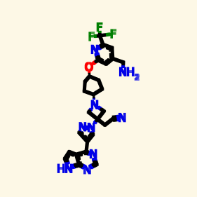 N#CCC1(n2cc(-c3ncnc4[nH]ccc34)cn2)CN([C@H]2CC[C@@H](Oc3cc(CN)cc(C(F)(F)F)n3)CC2)C1